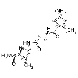 Cn1cc(N)cc1C(=O)NCCC(=O)Nc1cn(C)c(C(N)=O)n1